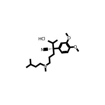 COc1ccc([C@@](C#N)(CCCN(C)CCC(C)C)C(C)C)cc1OC.Cl